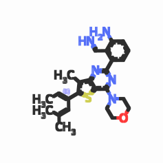 C/C=C(\C=C(C)C)c1sc2c(N3CCOCC3)nc(-c3cccc(N)c3C=N)nc2c1C